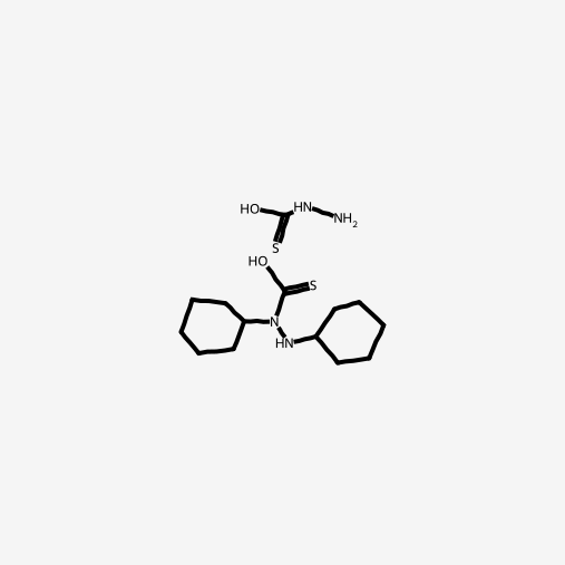 NNC(O)=S.OC(=S)N(NC1CCCCC1)C1CCCCC1